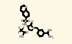 N=C(N)c1cccc(CN2CC[C@H](NS(=O)(=O)c3ccc4ncccc4c3)C2=O)c1.O=C(O)C(F)(F)F